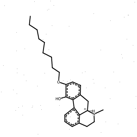 CCCCCCCCCOc1ccc2c(c1O)-c1cccc3c1[C@@H](C2)N(C)CC3